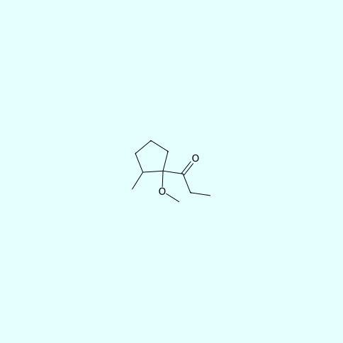 CCC(=O)C1(OC)CCCC1C